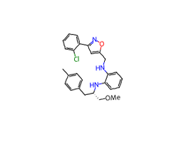 COC[C@H](Cc1ccc(C)cc1)Nc1ccccc1NCc1cc(-c2ccccc2Cl)no1